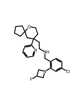 FC1CN(c2cc(Cl)ccc2CNCCC2(c3ccccn3)CCOC3(CCCC3)C2)C1